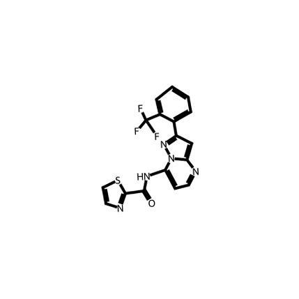 O=C(Nc1ccnc2cc(-c3ccccc3C(F)(F)F)nn12)c1nccs1